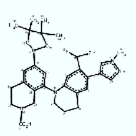 Cn1cc(-c2cc3c(cc2C(F)F)N(c2cc(B4OC(C)(C)C(C)(C)O4)cc4c2CN(C(=O)O)CC4)CCC3)cn1